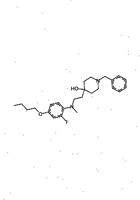 CCCCOc1ccc(N(C)CCC2(O)CCN(Cc3ccccc3)CC2)c(F)c1